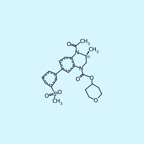 CC(=O)N1c2ccc(-c3cccc(S(C)(=O)=O)c3)cc2N(C(=O)OC2CCOCC2)C[C@@H]1C